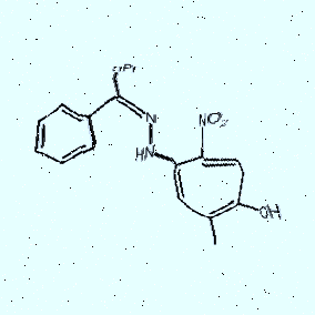 CCCC(=NNc1cc(C)c(O)cc1[N+](=O)[O-])c1ccccc1